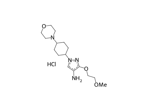 COCCOc1nn(C2CCC(N3CCOCC3)CC2)cc1N.Cl